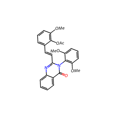 COc1cccc(/C=C/c2nc3ccccc3c(=O)n2-c2c(OC)cccc2OC)c1OC(C)=O